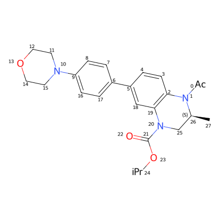 CC(=O)N1c2ccc(-c3ccc(N4CCOCC4)cc3)cc2N(C(=O)OC(C)C)C[C@@H]1C